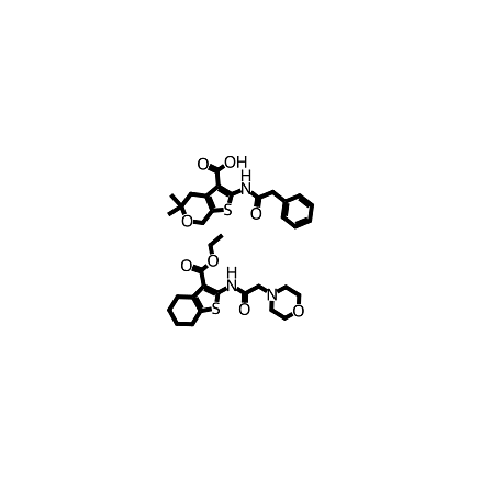 CC1(C)Cc2c(sc(NC(=O)Cc3ccccc3)c2C(=O)O)CO1.CCOC(=O)c1c(NC(=O)CN2CCOCC2)sc2c1CCCC2